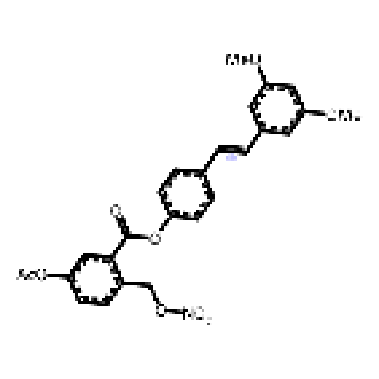 COc1cc(/C=C/c2ccc(OC(=O)c3cc(OC(C)=O)ccc3CO[N+](=O)[O-])cc2)cc(OC)c1